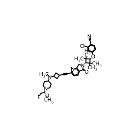 COC(CF)N1CCC(N(C)C2CC(C#Cc3ccc4c(n3)CN([C@H]3C(C)(C)[C@H](Oc5ccc(C#N)c(Cl)c5)C3(C)C)C4=O)C2)CC1